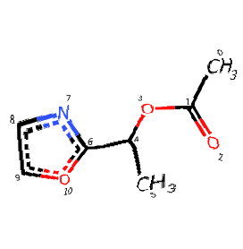 CC(=O)OC(C)c1ncco1